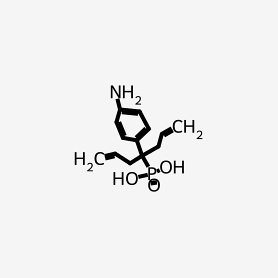 C=CCC(CC=C)(c1ccc(N)cc1)P(=O)(O)O